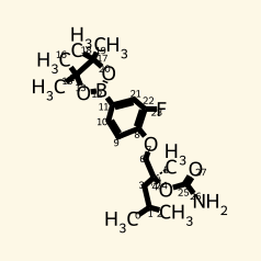 CC(C)C[C@@](C)(COc1ccc(B2OC(C)(C)C(C)(C)O2)cc1F)OC(N)=O